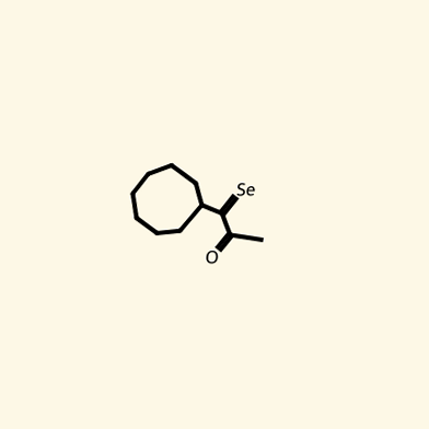 CC(=O)C(=[Se])C1CCCCCCC1